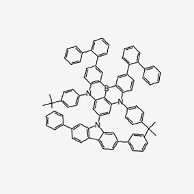 CC(C)(C)c1ccc(N2c3ccc(-c4ccccc4-c4ccccc4)cc3B3c4cc(-c5ccccc5-c5ccccc5)ccc4N(c4ccc(C(C)(C)C)cc4)c4cc(-n5c6cc(-c7ccccc7)ccc6c6ccc(-c7ccccc7)cc65)cc2c43)cc1